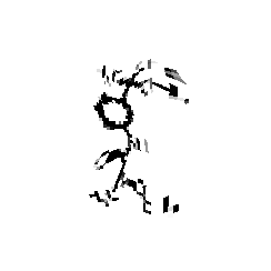 CON(C)C(=O)Nc1cccc(C(C)(C)C)c1